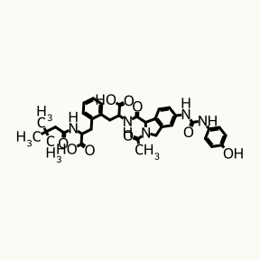 CC(=O)N1Cc2cc(NC(=O)Nc3ccc(O)cc3)ccc2C1C(=O)NC(Cc1ccccc1CC(NC(=O)CC(C)(C)C)C(=O)O)C(=O)O